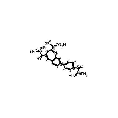 CCCN(CCC)C(=O)C1=Cc2ccc(-c3ccc(C(=O)N(C)C)cc3)cc2N=C(N(C(=O)O)C(C)(C)C)C1